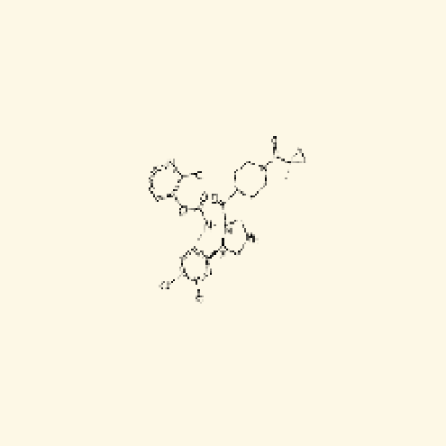 CN(C(=O)Oc1cccnc1Cl)[C@]1(C(=O)C2CCN(C(=O)C3(C)CC3)CC2)CNC[C@H]1c1ccc(Cl)c(Cl)c1